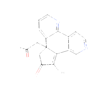 CC(=O)CC12CC(=O)C(C)=C1c1cnccc1-c1ncccc12